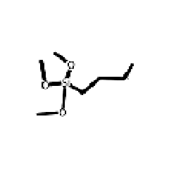 C[CH]CC[Si](OC)(OC)OC